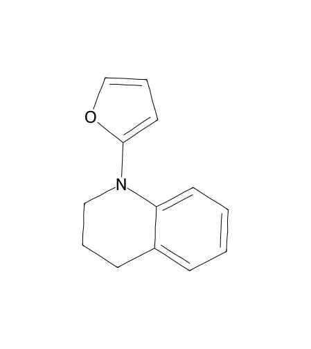 c1coc(N2CCCc3ccccc32)c1